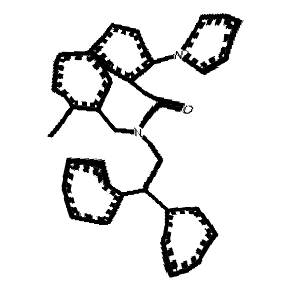 Cc1ccccc1CN(CC(c1ccccc1)c1ccccc1)C(=O)c1ccccc1-n1cccc1